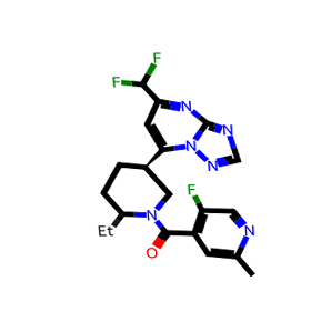 CCC1CC[C@@H](c2cc(C(F)F)nc3ncnn23)CN1C(=O)c1cc(C)ncc1F